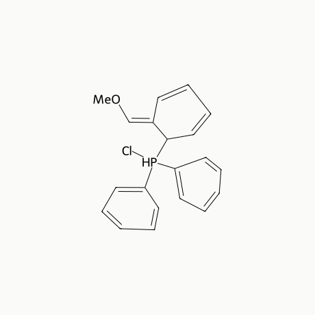 COC=C1C=CC=CC1[PH](Cl)(c1ccccc1)c1ccccc1